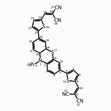 CCCN1c2ccc(-c3ccc(C=C(C#N)C#N)s3)cc2SC2C=C(c3ccc(C=C(C#N)C#N)s3)C=CC21